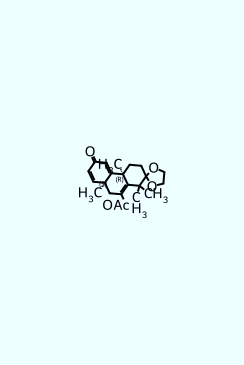 CC(=O)OC1=C2C(C)(C)C3(CC[C@]2(C)C2=CC(=O)C=C[C@]2(C)C1)OCCO3